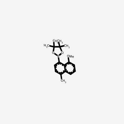 COc1cccc2c(C)ccc(B3OC(C)(C)C(C)(C)O3)c12